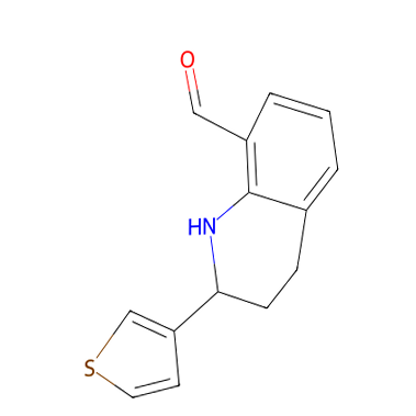 O=Cc1cccc2c1NC(c1ccsc1)CC2